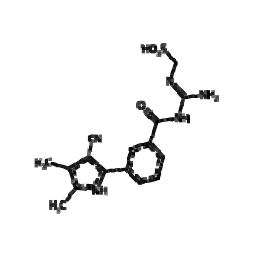 Cc1[nH]c(-c2cccc(C(=O)NC(N)=NCS(=O)(=O)O)c2)c(C#N)c1C